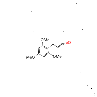 COc1cc(OC)c(CC=C=O)c(OC)c1